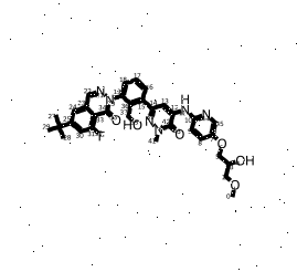 COCC(O)COc1ccc(Nc2cc(-c3cccc(-n4ncc5cc(C(C)(C)C)cc(F)c5c4=O)c3CO)nn(C)c2=O)nc1